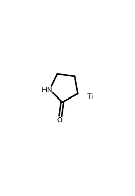 O=C1CCCN1.[Ti]